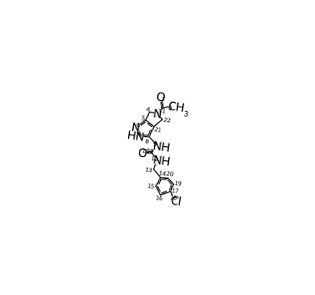 CC(=O)N1Cc2n[nH]c(NC(=O)NCc3ccc(Cl)cc3)c2C1